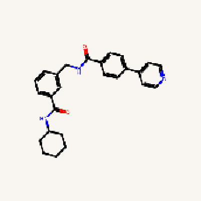 O=C(NCc1cccc(C(=O)NC2CCCCC2)c1)c1ccc(-c2ccncc2)cc1